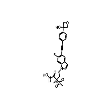 C[C@](CCn1ccc2cc(C#Cc3ccc(C4(O)COC4)cc3)c(F)cc21)(C(=O)NO)S(C)(=O)=O